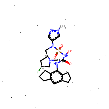 CN1C[C@@H](F)C[C@H]1CN(c1cnn(C)c1)S(=O)(=O)[NH+]([O-])C(=O)Nc1c2c(cc3c1CCC3)CCC2